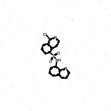 O=S(=O)(Nc1cccc2cccnc12)c1cccc2c(Cl)nccc12